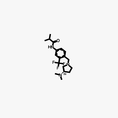 CC(C)C(=O)Nc1ccc(CN2CC[C@H](N(C)C)C2)c(C(F)(F)F)c1